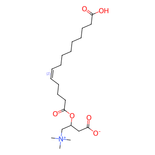 C[N+](C)(C)CC(CC(=O)[O-])OC(=O)CCC/C=C\CCCCCCCC(=O)O